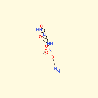 CC(C)(C)OC(=O)N(CCCOCCCCCN=[N+]=[N-])CC(=O)Nc1ccc2c(c1)CN(C1CCC(=O)NC1=O)C2=O